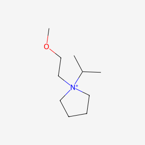 COCC[N+]1(C(C)C)CCCC1